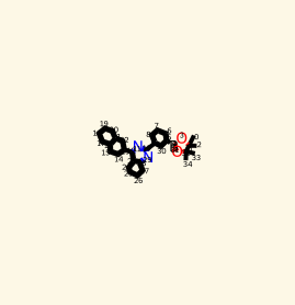 CC1(C)OB(c2cccc(-c3nc(-c4ccc5ccccc5c4)c4ccccc4n3)c2)OC1(C)C